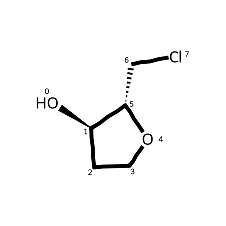 O[C@@H]1CCO[C@H]1CCl